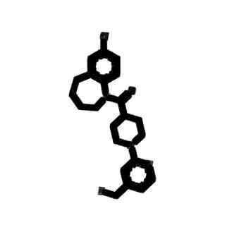 O=C(C1CCN(c2cc(CF)ccn2)CC1)N1CCCCc2cc(Cl)ccc21